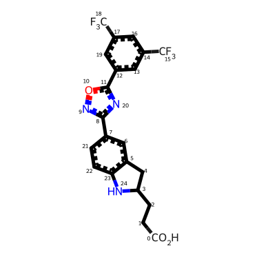 O=C(O)CCC1Cc2cc(-c3noc(-c4cc(C(F)(F)F)cc(C(F)(F)F)c4)n3)ccc2N1